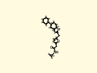 O=C(Cc1nnc(Cc2nc3ccc(-c4ccccc4)cc3s2)o1)NC1CC1